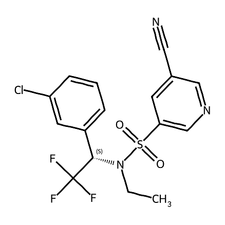 CCN([C@@H](c1cccc(Cl)c1)C(F)(F)F)S(=O)(=O)c1cncc(C#N)c1